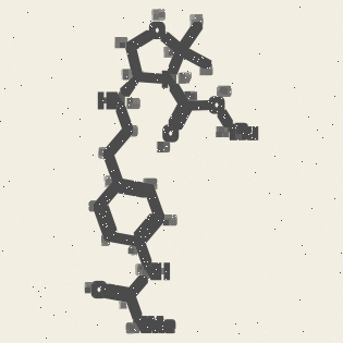 CNC(=O)Nc1ccc(CCN[C@H]2COC(C)(C)N2C(=O)OC(C)(C)C)cc1